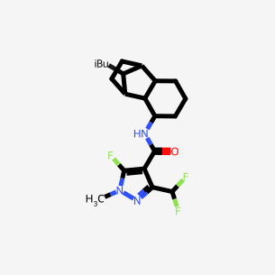 CCC(C)C1C2CCC1C1C(NC(=O)c3c(C(F)F)nn(C)c3F)CCCC21